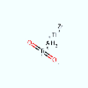 [AlH3].[O]=[Ti]=[O].[Ti].[Zr]